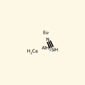 N#[SiH].[AlH3].[CaH2].[Eu]